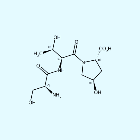 C[C@@H](O)[C@H](NC(=O)[C@@H](N)CO)C(=O)N1C[C@H](O)C[C@H]1C(=O)O